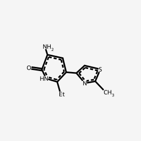 CCc1[nH]c(=O)c(N)cc1-c1csc(C)n1